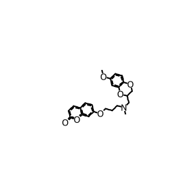 COc1ccc2c(c1)OC(CN(C)CCCOc1ccc3ccc(=O)oc3c1)CO2